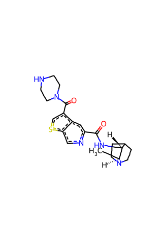 C[C@H]1[C@H](NC(=O)c2cc3c(C(=O)N4CCNCC4)csc3cn2)C2CCN1CC2